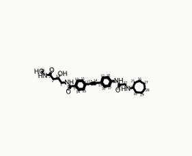 O=C(C[C@H](O)CNC(=O)c1ccc(C#Cc2ccc(NC(=O)CNC3CCCCCC3)cc2)cc1)NO